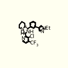 CCn1cc(-c2cccc(C(NC(=O)c3nccc(C(F)(F)F)c3Cl)[C@@H]3CCCCN3)c2)cn1